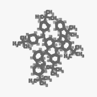 CC(C)(C)c1ccc(N(c2ccc(C(C)(C)C)cc2)c2cc3c4c(c2)-n2c5c(c6cc(C(C)(C)C)cc(c62)B4c2ccc(C(C)(C)C)cc2N3c2cccc3c2sc2cc(C(C)(C)C)ccc23)C(C)(C)c2ccccc2-5)cc1